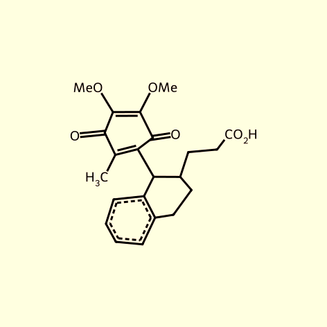 COC1=C(OC)C(=O)C(C2c3ccccc3CCC2CCC(=O)O)=C(C)C1=O